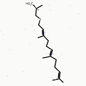 CC(C)=CCC/C(C)=C/CC/C(C)=C/CSC[C@H](C)C(=O)O